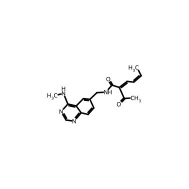 C/C=C\C=C(/C(C)=O)C(=O)NCc1ccc2ncnc(NC)c2c1